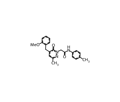 COc1ccccc1Cc1cc(C)nn(CC(=O)Nc2ccc(C)cc2)c1=O